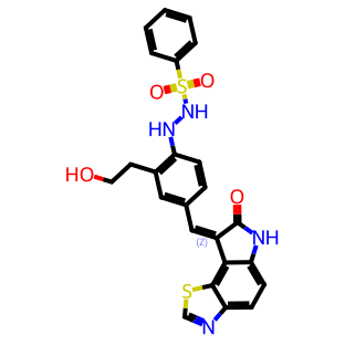 O=C1Nc2ccc3ncsc3c2/C1=C/c1ccc(NNS(=O)(=O)c2ccccc2)c(CCO)c1